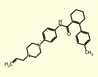 C=CCN1CCN(c2ccc(NC(=O)C3=C(c4ccc(C)cc4)CCCC3)cc2)CC1